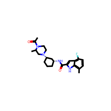 CC(=O)N1CCN([C@H]2CCC[C@@H](NC(=O)c3cc4c(F)ccc(C)c4[nH]3)C2)CC1C